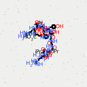 CC(C)C[C@H](NC(=O)[C@H](Cc1ccccc1)NC(=O)[C@H](Cc1ccc(O)cc1)NC(=O)[C@@H](NC(=O)CNC(=O)CNC(=O)[C@@H](NC(=O)[C@H](CC(N)=O)NC(=O)[C@H](CC(C)C)NC(=O)[C@@H](N)CCCNC(=N)N)C(C)C)[C@@H](C)O)C(=O)N[C@H](C(=O)N[C@@H](CCCNC(=N)N)C(=O)N[C@@H](CCC(N)=O)C(=O)O)[C@@H](C)O